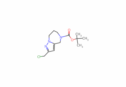 CC(C)(C)OC(=O)N1CCCn2nc(CCl)cc2C1